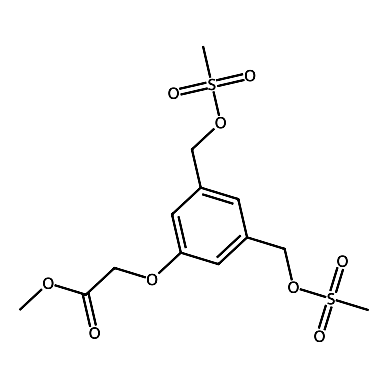 COC(=O)COc1cc(COS(C)(=O)=O)cc(COS(C)(=O)=O)c1